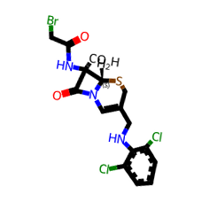 O=C(CBr)NC1(C(=O)O)C(=O)N2C=C(CNc3c(Cl)cccc3Cl)CS[C@H]21